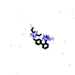 CCc1nc(CC=S)nn1Cc1ccc(-c2ccccc2-c2nnn[nH]2)cc1